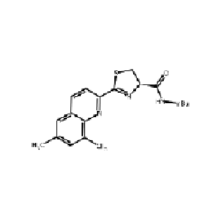 CCCCNC(=O)[C@@H]1CSC(c2ccc3cc(C)cc(C(F)(F)F)c3n2)=N1